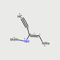 C#C/C(=C/NC)NNC